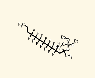 CCO[Si](C)(OCC)OC(C)(C)CC(F)(F)C(F)(F)C(F)(F)C(F)(F)C(F)(F)C(F)(F)C(F)(F)CCC(F)(F)F